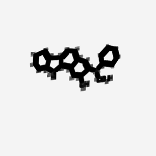 O=C(O)N(c1ccccc1)c1cc2ccc3c4ccccc4[nH]c3c2cc1O